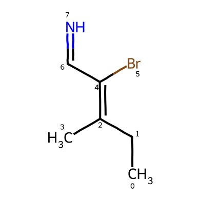 CC/C(C)=C(\Br)C=N